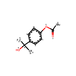 CC(C)(C)C(=O)Oc1ccc(C(O)(C(F)(F)F)C(F)(F)F)cc1